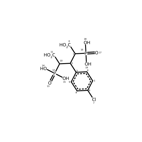 O=C(O)C(C(c1ccc(Cl)cc1)C(C(=O)O)P(=O)(O)O)P(=O)(O)O